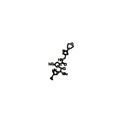 CC(C)(C)[C@@H](C(=O)N1C[C@H](O)C[C@H]1C(=O)NCc1cnc(N2CCOCC2)s1)n1cc(C2CC2)nn1